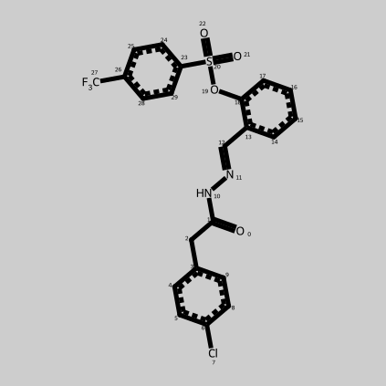 O=C(Cc1ccc(Cl)cc1)NN=Cc1ccccc1OS(=O)(=O)c1ccc(C(F)(F)F)cc1